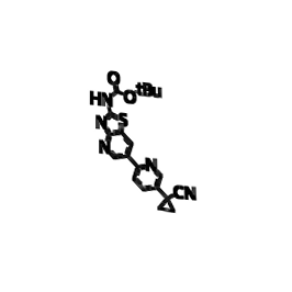 CC(C)(C)OC(=O)Nc1nc2ncc(-c3ccc(C4(C#N)CC4)cn3)cc2s1